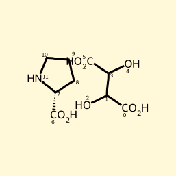 O=C(O)C(O)C(O)C(=O)O.O=C(O)[C@H]1CCCN1